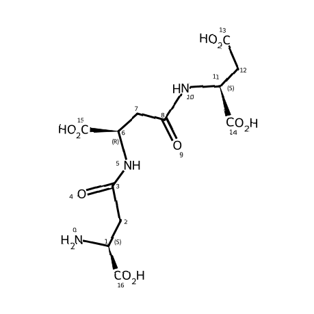 N[C@@H](CC(=O)N[C@H](CC(=O)N[C@@H](CC(=O)O)C(=O)O)C(=O)O)C(=O)O